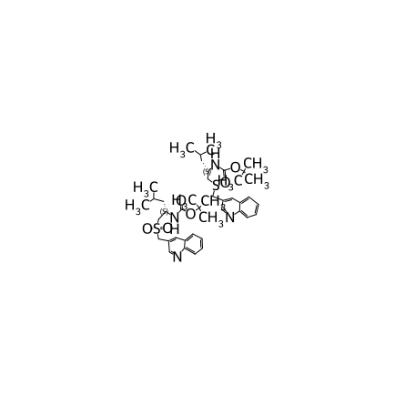 CC(C)C[C@@H](CS(=O)(=O)Cc1cnc2ccccc2c1)NC(=O)OC(C)(C)C.CC(C)C[C@@H](CSCc1cnc2ccccc2c1)NC(=O)OC(C)(C)C